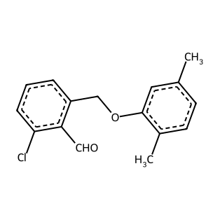 Cc1ccc(C)c(OCc2cccc(Cl)c2C=O)c1